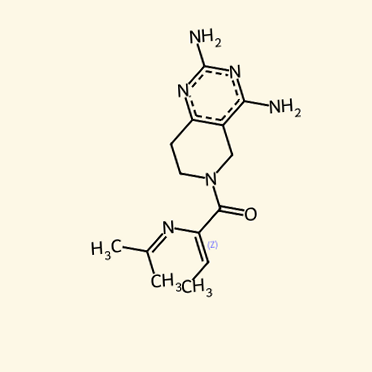 C/C=C(\N=C(C)C)C(=O)N1CCc2nc(N)nc(N)c2C1